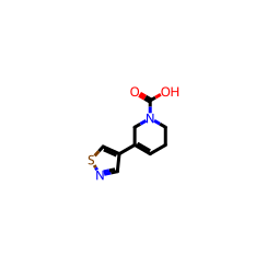 O=C(O)N1CCC=C(c2cnsc2)C1